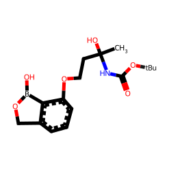 CC(O)(CCOc1cccc2c1B(O)OC2)NC(=O)OC(C)(C)C